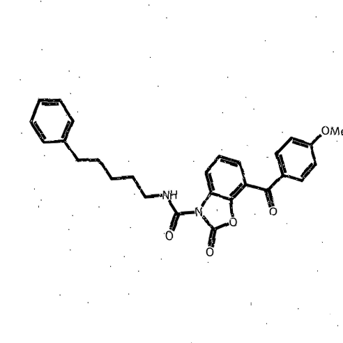 COc1ccc(C(=O)c2cccc3c2oc(=O)n3C(=O)NCCCCCc2ccccc2)cc1